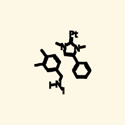 Cc1ccc(CN(I)I)cc1C.Cn1cc(-c2ccccc2)n(C)[c]1=[Pt]